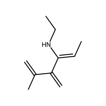 C=C(C)C(=C)C(=CC)NCC